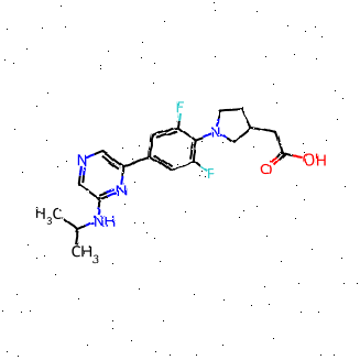 CC(C)Nc1cncc(-c2cc(F)c(N3CCC(CC(=O)O)C3)c(F)c2)n1